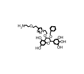 NCCOCCc1cn(CCOC2c3c(O)cc(O)cc3OC(c3cc(O)c(O)c(O)c3)C2OCc2ccccc2)nn1